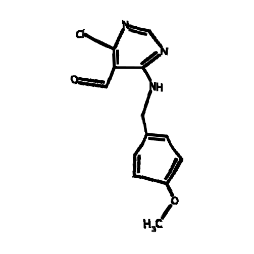 COc1ccc(CNc2ncnc(Cl)c2C=O)cc1